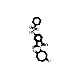 O=C1CCCC(=O)C(N2C(=O)c3ccc(NS(=O)(=O)C4CCCCC4)cc3C2=S)CC1